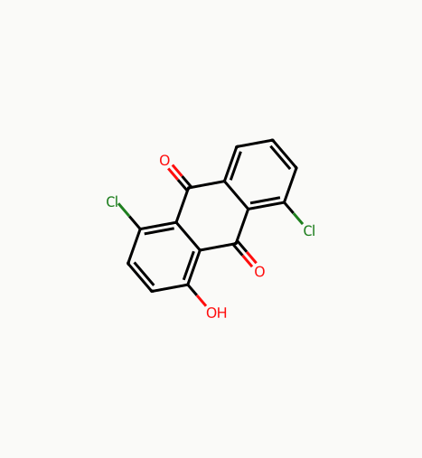 O=C1c2c(Cl)cccc2C(=O)c2c(Cl)ccc(O)c21